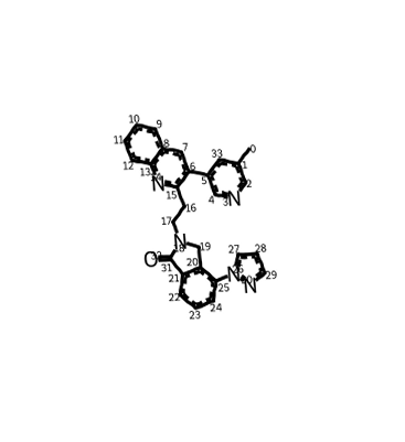 Cc1cncc(-c2cc3ccccc3nc2CCN2Cc3c(cccc3-n3cccn3)C2=O)c1